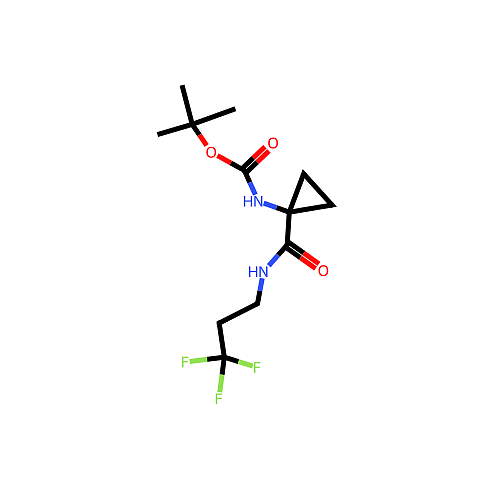 CC(C)(C)OC(=O)NC1(C(=O)NCCC(F)(F)F)CC1